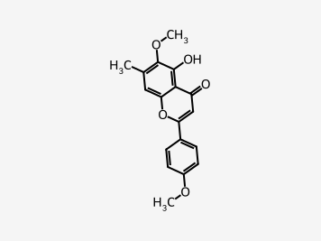 COc1ccc(-c2cc(=O)c3c(O)c(OC)c(C)cc3o2)cc1